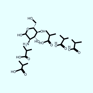 CC(C)C(=O)O.CC(C)C(=O)O.CC(C)C(=O)O.CC(C)C(=O)O.CC(C)C(=O)O.N[C@H]1C(O)O[C@H](CO)[C@@H](O)[C@@H]1O